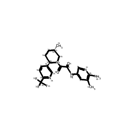 Cc1cc(NC(=O)C(=O)N2C[C@@H](C)CC[C@@H]2c2ccc(C(F)(F)F)nc2)cnc1N